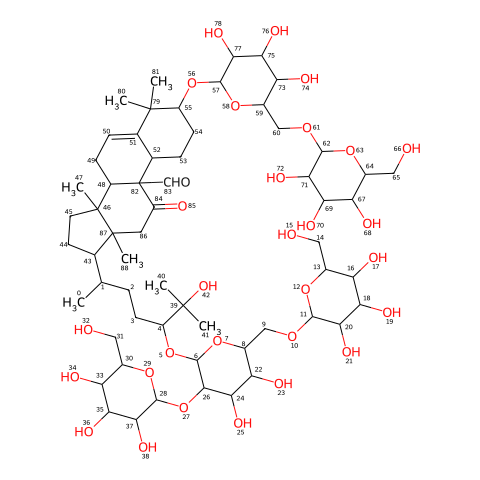 CC(CCC(OC1OC(COC2OC(CO)C(O)C(O)C2O)C(O)C(O)C1OC1OC(CO)C(O)C(O)C1O)C(C)(C)O)C1CCC2(C)C3CC=C4C(CCC(OC5OC(COC6OC(CO)C(O)C(O)C6O)C(O)C(O)C5O)C4(C)C)C3(C=O)C(=O)CC12C